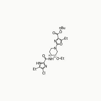 CCCCOC(=O)c1nc(N2CC[C@@H](NC(=O)c3nc(Cl)c(CC)[nH]3)[C@@H](OCC)C2)oc1CC